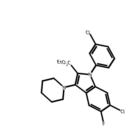 CCOC(=O)c1c(N2CCCCC2)c2cc(F)c(Cl)cc2n1-c1cccc(Cl)c1